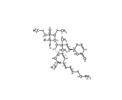 CCOP(=O)(OCC)C(F)(F)OC(C[C@H](\C=C/C=C\C=C\COP)OPP)C(C)(C)/C=C/[C@H]1CC=CC(=O)O1